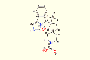 CC(C)(C)C1(C2c3ccccc3-c3cncn32)CCC2(CCN(C(=O)O)CC2)C1=O